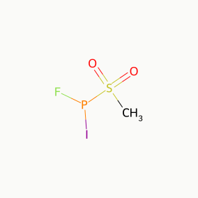 CS(=O)(=O)P(F)I